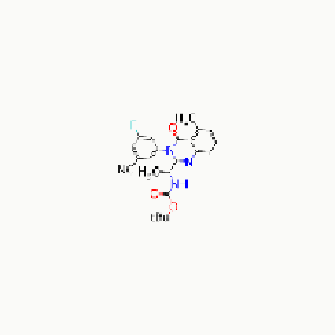 Cc1cccc2nc([C@H](C)NC(=O)OC(C)(C)C)n(-c3cc(F)cc(C#N)c3)c(=O)c12